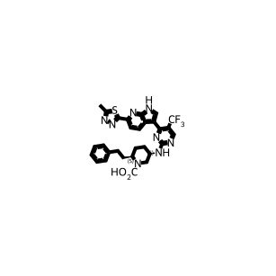 Cc1nnc(-c2ccc3c(-c4nc(N[C@H]5CC[C@H](CCc6ccccc6)N(C(=O)O)C5)ncc4C(F)(F)F)c[nH]c3n2)s1